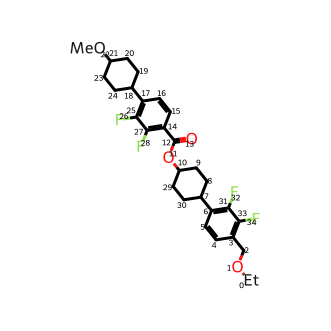 CCOCc1ccc(C2CCC(OC(=O)c3ccc(C4CCC(OC)CC4)c(F)c3F)CC2)c(F)c1F